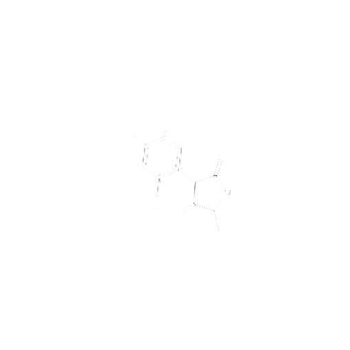 CC1NC(=O)C(c2ccc(Cl)cc2Cl)C1=O